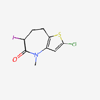 CN1C(=O)C(I)CCc2sc(Cl)cc21